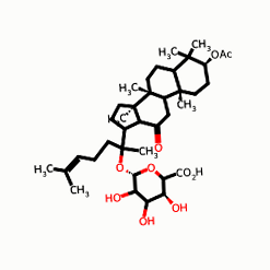 CC(=O)O[C@H]1CC[C@@]2(C)C(CC[C@]3(C)C2CC(=O)C2C(C(C)(CCC=C(C)C)O[C@@H]4OC(C(=O)O)[C@@H](O)C(O)C4O)CC[C@]23C)C1(C)C